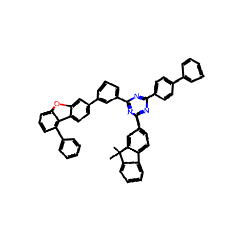 CC1(C)c2ccccc2-c2ccc(-c3nc(-c4ccc(-c5ccccc5)cc4)nc(-c4cccc(-c5ccc6c(c5)oc5cccc(-c7ccccc7)c56)c4)n3)cc21